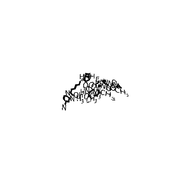 C[C@@H]1CCN(C(=O)[C@@H](NC(=O)OC2C[C@@H]3C=C[C@@H]3[C@H]2CCCCCc2nc3ccc(C#N)cc3nc2O)C(C)(C)C)[C@@H]1C(=O)NC1(C(=O)NS(=O)(=O)C2(C)CC2)C[C@H]1C(F)F